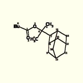 CCC(C)C(=O)OC(C)(C)C1C2CC3CC(C2)CC1C3